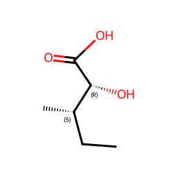 CC[C@H](C)[C@@H](O)C(=O)O